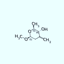 C=C1C[C@@H](OC)O[C@@H](C)[C@@H]1O